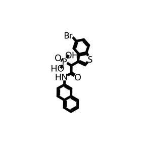 O=C(Nc1ccc2ccccc2c1)C(c1csc2ccc(Br)cc12)P(=O)(O)O